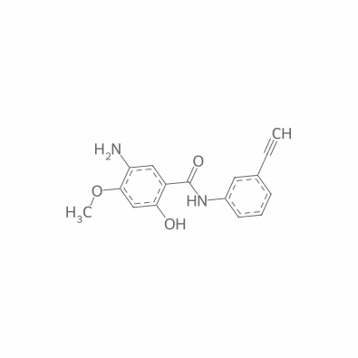 C#Cc1cccc(NC(=O)c2cc(N)c(OC)cc2O)c1